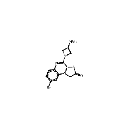 CNC1CN(C2=Nc3ccc(Br)cc3N3CC(=O)N=C23)C1